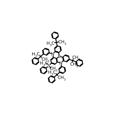 CC(C)(c1ccccc1)c1cccc(N2c3cc(C(C)(C)c4ccccc4)ccc3B3c4ccc(C(C)(C)c5ccccc5)cc4N(c4cccc(C(C)(C)c5ccccc5)c4)c4cc(S(C)(C)c5ccccc5)cc2c43)c1